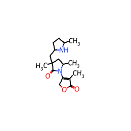 CC1=C(N2C(=O)C(C)(CC3CCC(C)N3)CC2C)COC1=O